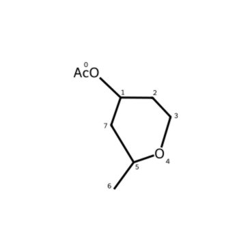 CC(=O)OC1CCOC(C)C1